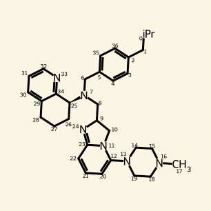 CC(C)Cc1ccc(CN(CC2CN3C(N4CCN(C)CC4)=CC=CC3=N2)[C@H]2CCCc3cccnc32)cc1